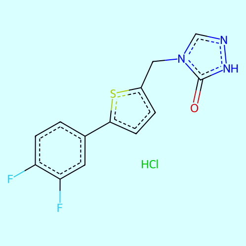 Cl.O=c1[nH]ncn1Cc1ccc(-c2ccc(F)c(F)c2)s1